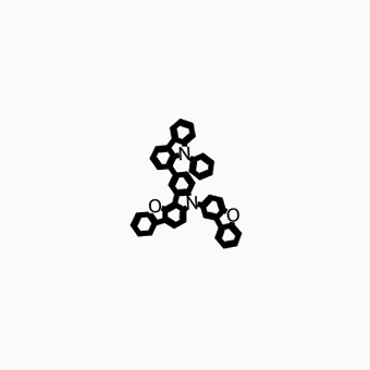 C1=Cc2oc3c(ccc4c3c3cc(-c5cccc6c7ccccc7n(-c7ccccc7)c56)ccc3n4-c3ccc4oc5ccccc5c4c3)c2CC1